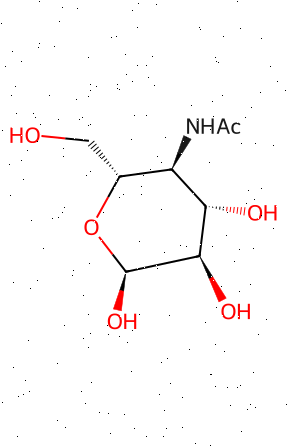 CC(=O)N[C@H]1[C@H](O)[C@@H](O)[C@@H](O)O[C@@H]1CO